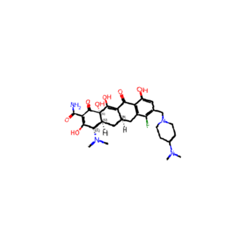 CN(C)C1CCN(Cc2cc(O)c3c(c2F)C[C@H]2C[C@H]4[C@H](N(C)C)C(O)=C(C(N)=O)C(=O)[C@@]4(O)C(O)=C2C3=O)CC1